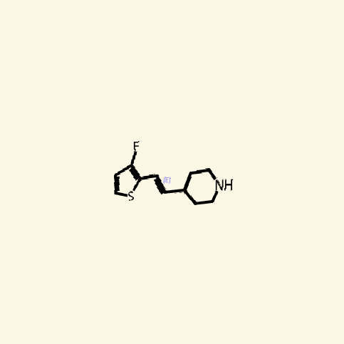 Fc1ccsc1/C=C/C1CCNCC1